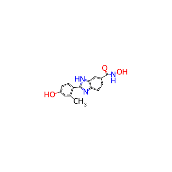 Cc1cc(O)ccc1-c1nc2ccc(C(=O)NO)cc2[nH]1